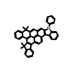 CC1(C)c2ccccc2-c2c1c1c3c(cc4cc5c(c6ccc2c3c46)c2ccccc2n5-c2ccccc2)C(C)(C)c2ccccc2-1